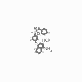 Cl.Nc1ccc(Oc2ccc(NS(=O)(=O)Cc3ccccc3)cc2)c2ccccc12